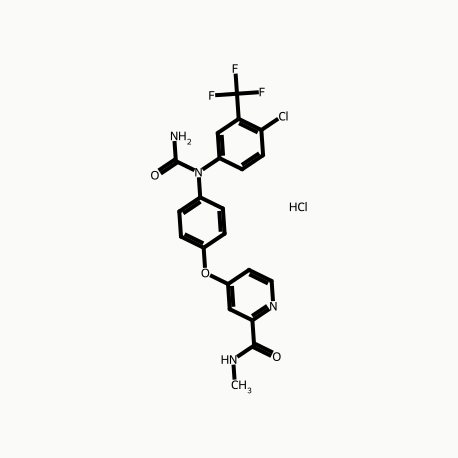 CNC(=O)c1cc(Oc2ccc(N(C(N)=O)c3ccc(Cl)c(C(F)(F)F)c3)cc2)ccn1.Cl